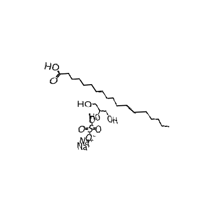 CCCCCCCCCCCCCCCCCC(=O)O.O=S(=O)([O-])[O-].OCC(O)CO.[Na+].[Na+]